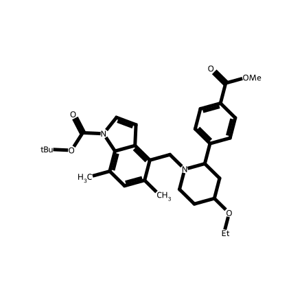 CCOC1CCN(Cc2c(C)cc(C)c3c2ccn3C(=O)OC(C)(C)C)C(c2ccc(C(=O)OC)cc2)C1